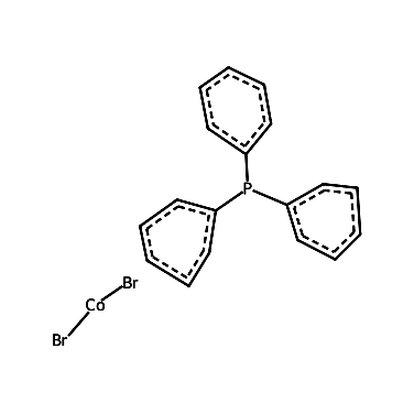 [Br][Co][Br].c1ccc(P(c2ccccc2)c2ccccc2)cc1